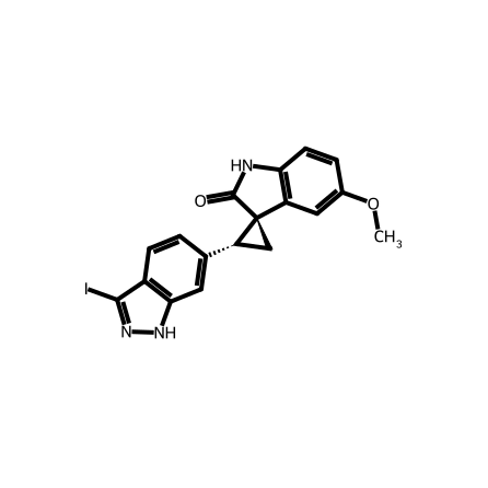 COc1ccc2c(c1)[C@@]1(C[C@@H]1c1ccc3c(I)n[nH]c3c1)C(=O)N2